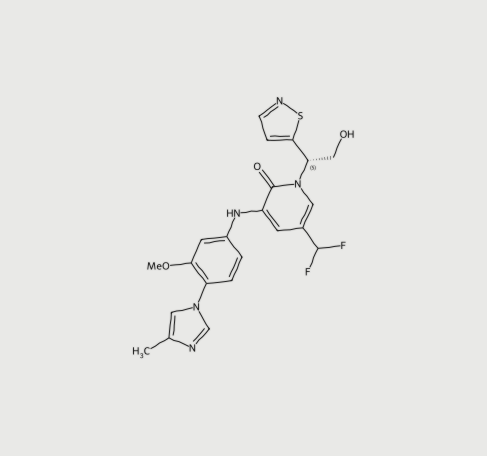 COc1cc(Nc2cc(C(F)F)cn([C@@H](CO)c3ccns3)c2=O)ccc1-n1cnc(C)c1